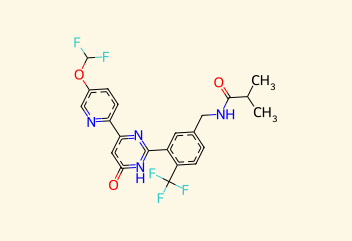 CC(C)C(=O)NCc1ccc(C(F)(F)F)c(-c2nc(-c3ccc(OC(F)F)cn3)cc(=O)[nH]2)c1